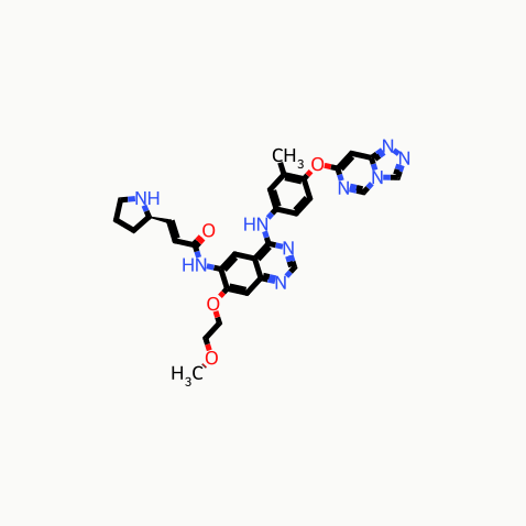 COCCOc1cc2ncnc(Nc3ccc(Oc4cc5nncn5cn4)c(C)c3)c2cc1NC(=O)/C=C/[C@H]1CCCN1